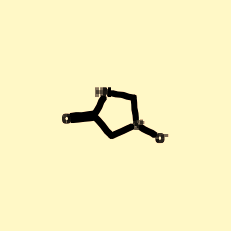 O=C1C[S+]([O-])CN1